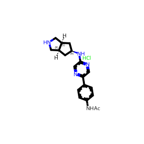 CC(=O)Nc1ccc(-c2cnc(N[C@H]3C[C@H]4CNC[C@H]4C3)cn2)cc1.Cl